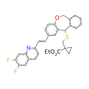 CCOC(=O)C1(CSC2c3ccccc3COc3ccc(/C=C/c4ccc5cc(F)c(F)cc5n4)cc32)CC1